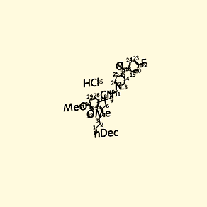 CCCCCCCCCCCCCCCCC(C#N)(CCCN1CCC(C(=O)c2ccc(F)cc2)CC1)c1ccc(OC)c(OC)c1.Cl